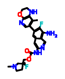 Cc1c(-c2cc3cc(NC(=O)OC[C@@]4(F)CCN(C)C4)ncc3c(N)c2F)cnc2c1NCCO2